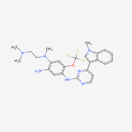 CN(C)CCN(C)c1cc(OC(F)(F)F)c(Nc2nccc(-c3cn(C)c4ccccc34)n2)cc1N